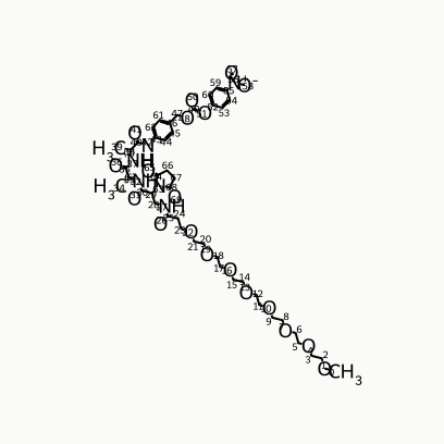 COCCOCCOCCOCCOCCOCCOCCOCCC(=O)NCC(C(=O)N[C@@H](C)C(=O)N[C@@H](C)C(=O)Nc1ccc(COC(=O)Oc2ccc([N+](=O)[O-])cc2)cc1)N1C(=O)CCC1=O